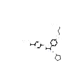 CNC(=O)c1cnc(NC(=O)/C(=N/OC2CCCC2)c2ccc(S(=O)(=O)CCCOC)cc2)cn1